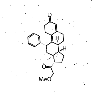 COCC(=O)[C@H]1CC[C@H]2[C@@H]3CCC4=CC(=O)CCC4=C3[C@@H](c3ccccc3)C[C@]12C